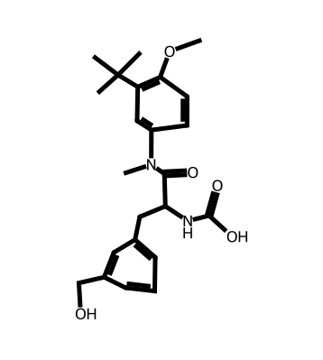 COc1ccc(N(C)C(=O)C(Cc2cccc(CO)c2)NC(=O)O)cc1C(C)(C)C